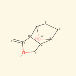 C=C1OCC2C3BC(CC3)C12